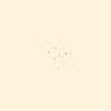 Cc1cc(C(=O)[C@@H]2CC[C@@H](c3cc(C(F)(F)F)ncc3Cl)N2C(=O)OC(C)(C)C)cc(C(F)(F)F)c1